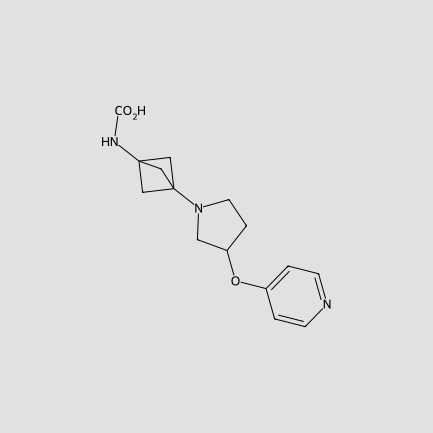 O=C(O)NC12CC(N3CCC(Oc4ccncc4)C3)(C1)C2